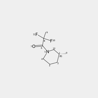 C[C@@H]1CCCN(C(=O)C(C)(F)F)C1